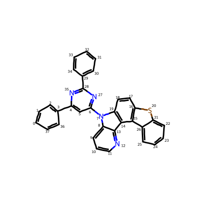 c1ccc(-c2cc(-n3c4cccnc4c4c5c(ccc43)sc3ccccc35)nc(-c3ccccc3)n2)cc1